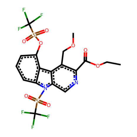 CCOC(=O)c1ncc2c(c1COC)c1c(OS(=O)(=O)C(F)(F)F)cccc1n2S(=O)(=O)C(F)(F)F